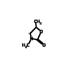 CC1[CH]N(C)C(=O)O1